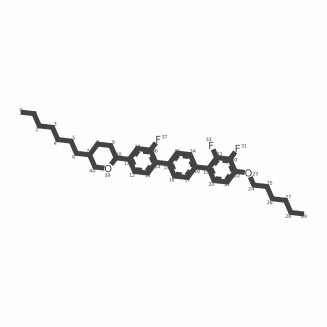 CCCCCCCC1CCC(c2ccc(-c3ccc(-c4ccc(OCCCCCC)c(F)c4F)cc3)c(F)c2)OC1